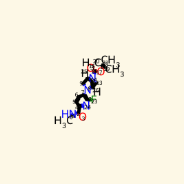 CNC(=O)c1ccc(N2C[C@H]3C[C@@H]2CN3C(=O)OC(C)(C)C)c(F)n1